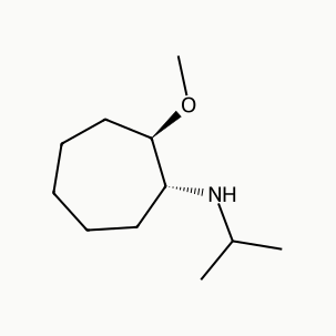 CO[C@@H]1CCCCC[C@H]1NC(C)C